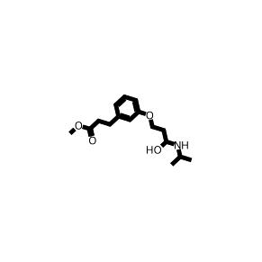 COC(=O)CCc1cccc(OCCC(O)NC(C)C)c1